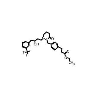 CCOC(=O)CCc1ccc(CN2C(=O)CCCN2CCC(O)Cc2cccc(C(F)(F)F)c2)cc1